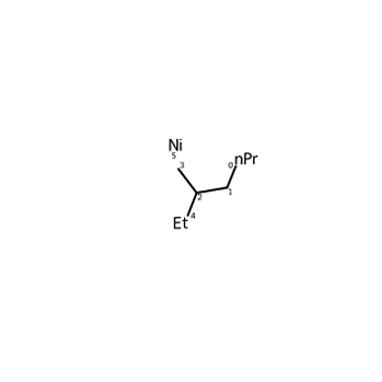 CCCCC(C)CC.[Ni]